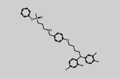 Cc1ccc(C(CCCCOc2ccc(CNCCCP(C)(=O)Oc3ccccc3)cc2)c2ccc(F)cc2F)cc1C